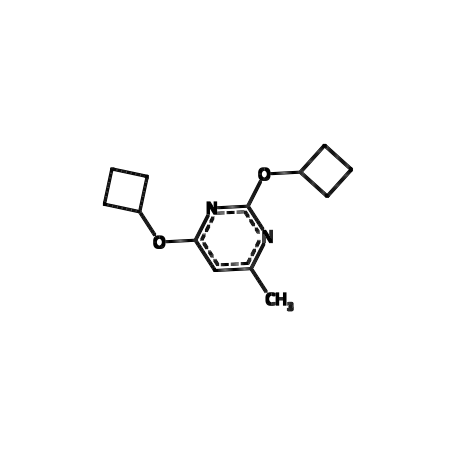 Cc1cc(OC2CCC2)nc(OC2CCC2)n1